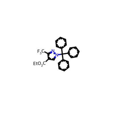 CCOC(=O)c1cn(C(c2ccccc2)(c2ccccc2)c2ccccc2)nc1C(F)(F)F